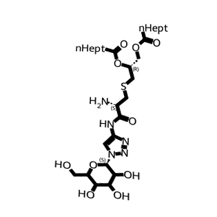 CCCCCCCC(=O)OC[C@H](CSC[C@@H](N)C(=O)Nc1cn([C@H]2OC(CO)C(O)C(O)C2O)nn1)OC(=O)CCCCCCC